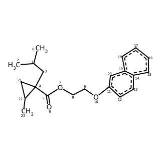 CC(C)CC1(C(=O)OCCOc2ccc3ccccc3c2)CC1C